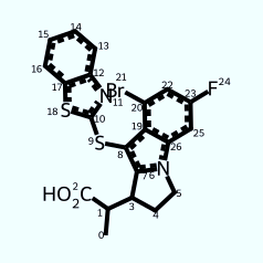 CC(C(=O)O)C1CCn2c1c(Sc1nc3ccccc3s1)c1c(Br)cc(F)cc12